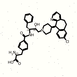 N[C@@H](Cc1ccc(C(=O)N[C@@H](Cc2ccccc2)[C@H](O)CN2CCC(=C3c4ccc(Cl)cc4CCc4cccnc43)CC2)cc1)C(=O)O